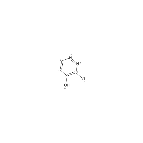 Oc1ccnnc1Cl